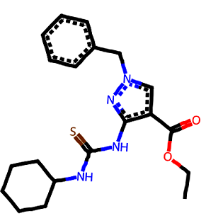 CCOC(=O)c1cn(Cc2ccccc2)nc1NC(=S)NC1CCCCC1